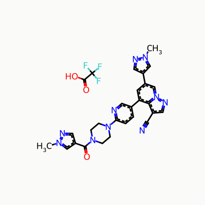 Cn1cc(C(=O)N2CCN(c3ccc(-c4cc(-c5cnn(C)c5)cn5ncc(C#N)c45)cn3)CC2)cn1.O=C(O)C(F)(F)F